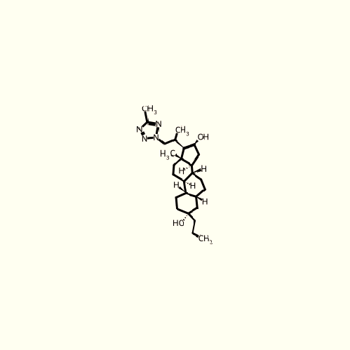 CCC[C@@]1(O)CC[C@H]2[C@H](CC[C@@H]3[C@@H]2CC[C@@]2(C)[C@H]3C[C@H](O)[C@@H]2C(C)Cn2nnc(C)n2)C1